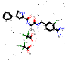 C[C@H](NC(=O)[C@H]1C[C@H](c2ccccc2)CN1)C(=O)NCc1ccc(C(=N)N)c(F)c1.O=C(O)C(F)(F)F.O=C(O)C(F)(F)F